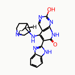 O=c1[nH]c2nc(O)ncc2c(N[C@@H]2CN3CCC2CC3)c1-c1nc2ccccc2[nH]1